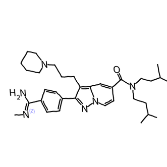 C/N=C(\N)c1ccc(-c2nn3ccc(C(=O)N(CCC(C)C)CCC(C)C)cc3c2CCCN2CCCCC2)cc1